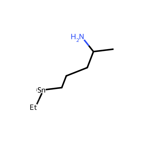 C[CH2][Sn][CH2]CCC(C)N